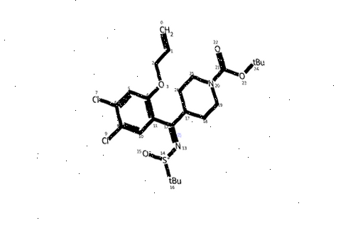 C=CCOc1cc(Cl)c(Cl)cc1/C(=N\[S+]([O-])C(C)(C)C)C1CCN(C(=O)OC(C)(C)C)CC1